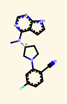 CN(c1ncnc2[nH]ccc12)[C@@H]1CCN(c2cc(F)ccc2C#N)C1